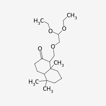 CCOC(COCC1C(=O)CCC2C(C)(C)CCCC12C)OCC